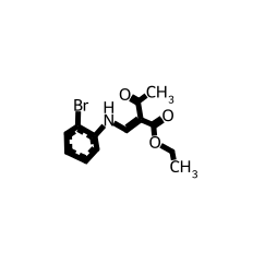 CCOC(=O)/C(=C/Nc1ccccc1Br)C(C)=O